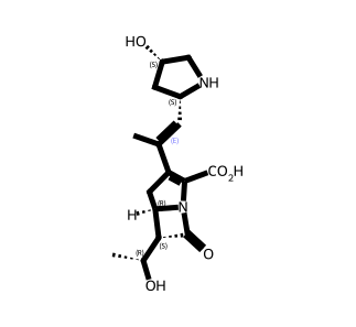 C/C(=C\[C@@H]1C[C@H](O)CN1)C1=C(C(=O)O)N2C(=O)[C@H]([C@@H](C)O)[C@H]2C1